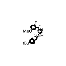 COc1ccc(F)c(C(F)n2ncc(NC(=O)Cc3ccc(C(C)(C)C)cc3)n2)c1